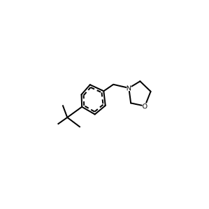 CC(C)(C)c1ccc(CN2CCOC2)cc1